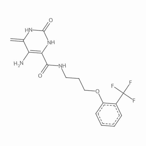 C=C1NC(=O)NC(C(=O)NCCCOc2ccccc2C(F)(F)F)=C1N